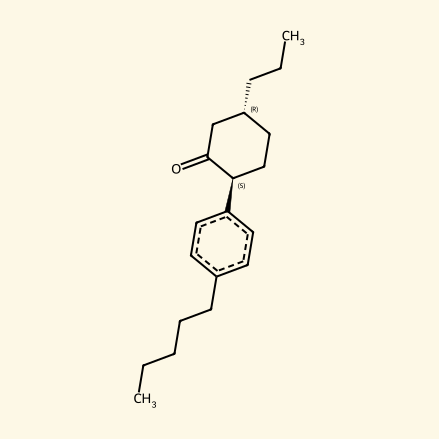 CCCCCc1ccc([C@@H]2CC[C@@H](CCC)CC2=O)cc1